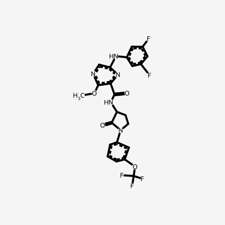 COc1ncc(Nc2cc(F)cc(F)c2)nc1C(=O)NC1CCN(c2cccc(OC(F)(F)F)c2)C1=O